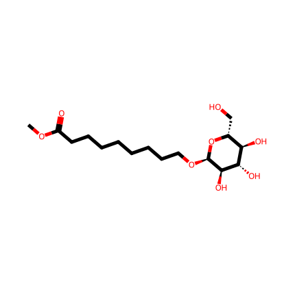 COC(=O)CCCCCCCCO[C@H]1O[C@H](CO)[C@@H](O)[C@H](O)[C@H]1O